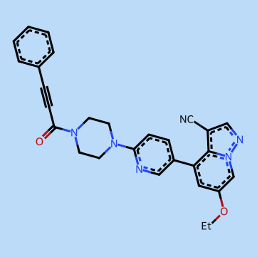 CCOc1cc(-c2ccc(N3CCN(C(=O)C#Cc4ccccc4)CC3)nc2)c2c(C#N)cnn2c1